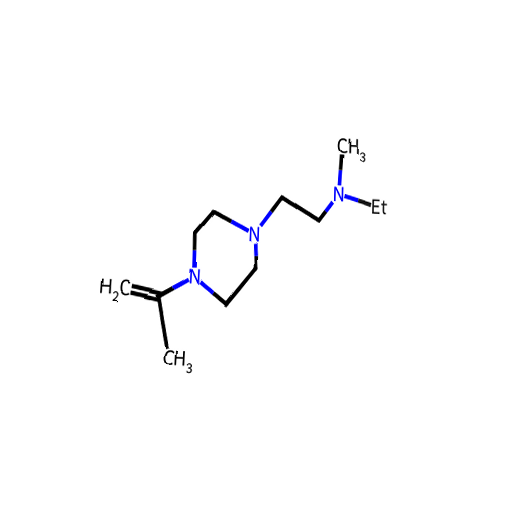 C=C(C)N1CCN(CCN(C)CC)CC1